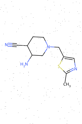 Cc1ncc(CN2CCC(C#N)C(N)C2)s1